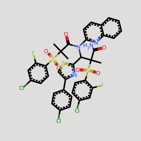 CC(C)(C(=O)N(c1ccc2ccccc2n1)C(c1nc(-c2ccc(Cl)cc2)cs1)C(C)(C(N)=O)S(=O)(=O)c1ccc(Cl)cc1F)S(=O)(=O)c1ccc(Cl)cc1F